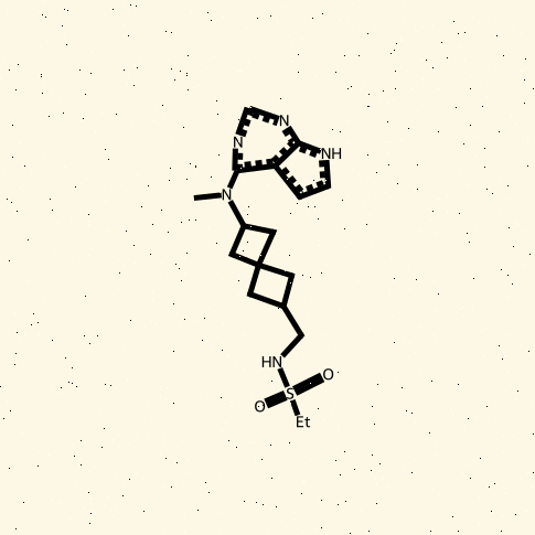 CCS(=O)(=O)NCC1CC2(C1)CC(N(C)c1ncnc3[nH]ccc13)C2